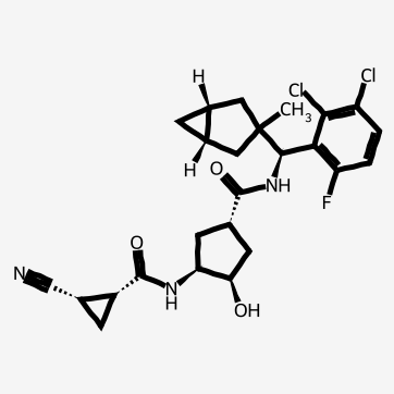 CC1([C@H](NC(=O)[C@@H]2C[C@@H](O)[C@@H](NC(=O)[C@@H]3C[C@@H]3C#N)C2)c2c(F)ccc(Cl)c2Cl)C[C@H]2C[C@H]2C1